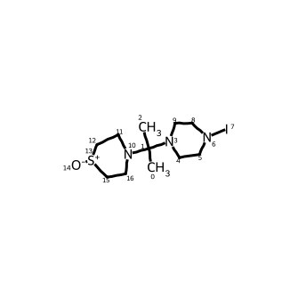 CC(C)(N1CCN(I)CC1)N1CC[S+]([O-])CC1